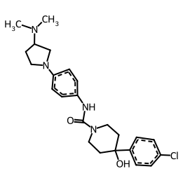 CN(C)C1CCN(c2ccc(NC(=O)N3CCC(O)(c4ccc(Cl)cc4)CC3)cc2)C1